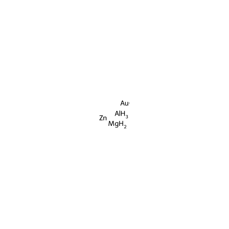 [AlH3].[Au].[MgH2].[Zn]